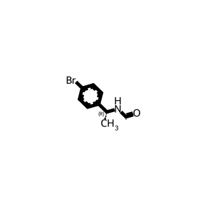 C[C@@H](N[C]=O)c1ccc(Br)cc1